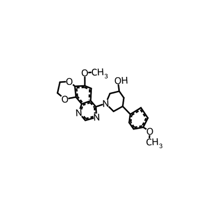 COc1ccc(C2CC(O)CN(c3ncnc4c5c(c(OC)cc34)OCCO5)C2)cc1